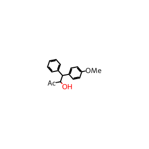 COc1ccc(C(c2ccccc2)C(O)C(C)=O)cc1